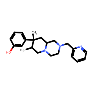 CC1CN2CCN(Cc3ccccn3)CC2C[C@@]1(C)c1cccc(O)c1